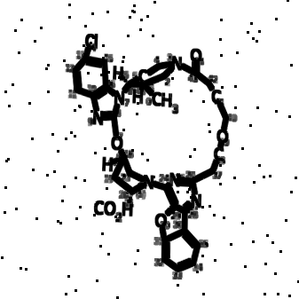 C[C@H]1CN2CC[C@@H]1n1c(nc3ccc(Cl)cc31)O[C@H]1C[C@@H](C(=O)O)N(C1)c1nc(nc3c1oc1ccccc13)CCOCCCC2=O